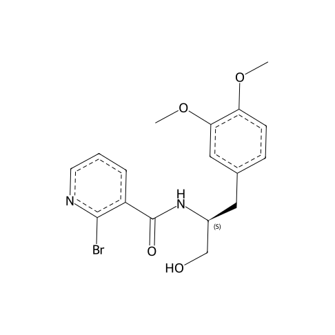 COc1ccc(C[C@@H](CO)NC(=O)c2cccnc2Br)cc1OC